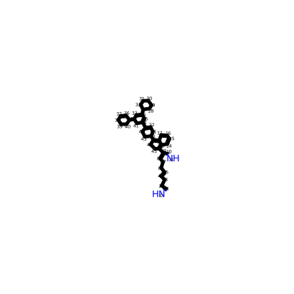 N=CCC/C=C/CC/C=C(\C=N)C1=c2ccccc2=C(C2CC=C(C3=CC(C4CCCCC4)=CC(C4C=CCCC4)C3)CC2)CC1